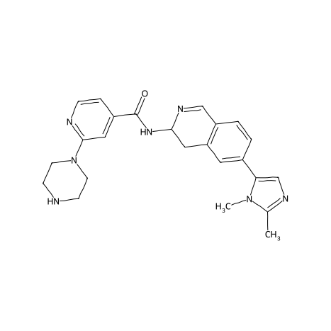 Cc1ncc(-c2ccc3c(c2)CC(NC(=O)c2ccnc(N4CCNCC4)c2)N=C3)n1C